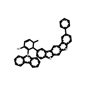 CC1C=CC(C#N)=C(n2c3ccccc3c3ccccc32)C1c1ccc2oc3cc4oc5ccc(-c6ccccc6)cc5c4cc3c2c1